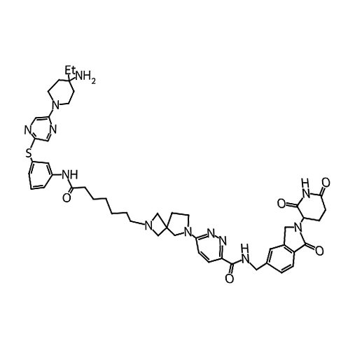 CCC1(N)CCN(c2cnc(Sc3cccc(NC(=O)CCCCCCN4CC5(CCN(c6ccc(C(=O)NCc7ccc8c(c7)CN(C7CCC(=O)NC7=O)C8=O)nn6)C5)C4)c3)cn2)CC1